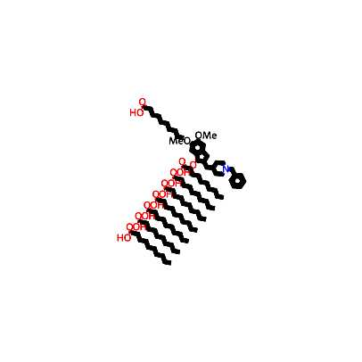 CCCCCCCCCC(=O)O.CCCCCCCCCC(=O)O.CCCCCCCCCC(=O)O.CCCCCCCCCC(=O)O.CCCCCCCCCC(=O)O.CCCCCCCCCC(=O)O.CCCCCCCCCC(=O)O.CCCCCCCCCC(=O)O.COc1cc2c(cc1OC)C(=O)C(CC1CCN(Cc3ccccc3)CC1)C2